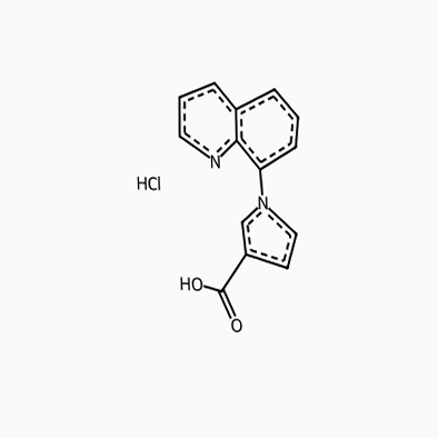 Cl.O=C(O)c1ccn(-c2cccc3cccnc23)c1